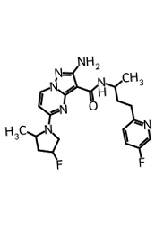 CC(CCc1ccc(F)cn1)NC(=O)c1c(N)nn2ccc(N3CC(F)CC3C)nc12